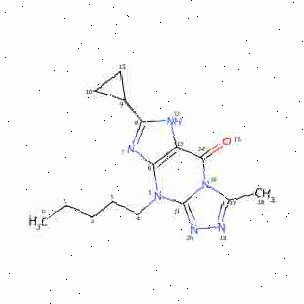 CCCCCn1c2nc(C3CC3)[nH]c2c(=O)n2c(C)nnc12